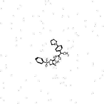 CC(C(=O)Nc1[nH]nc2c1CN(S(=O)(=O)c1ccccc1)C2)c1ccc(N2CCCC2)cc1